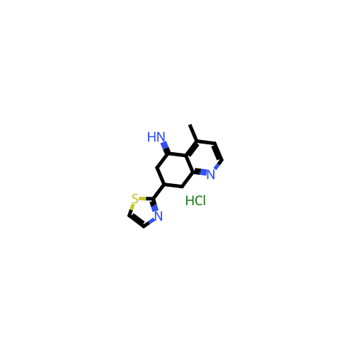 Cc1ccnc2c1C(=N)CC(c1nccs1)C2.Cl